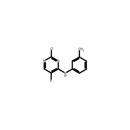 Cc1cccc(Nc2nc(Cl)ncc2F)c1